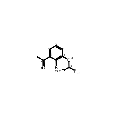 CC(=O)c1cccc(OC(F)F)c1Br